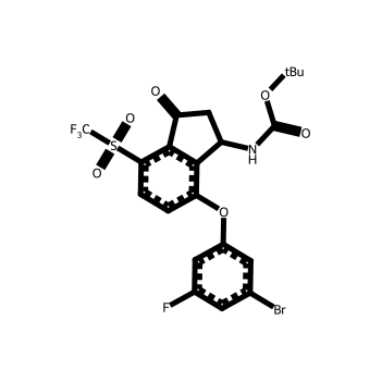 CC(C)(C)OC(=O)NC1CC(=O)c2c(S(=O)(=O)C(F)(F)F)ccc(Oc3cc(F)cc(Br)c3)c21